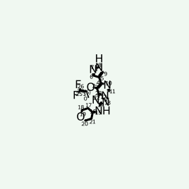 C[C@H](Oc1c(-c2cn[nH]c2)ncn2nc(NC3CCOCC3)nc12)C(F)F